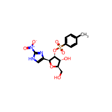 Cc1ccc(S(=O)(=O)O[C@@H]2[C@H](O)[C@@H](CO)O[C@H]2c2c[nH]c([N+](=O)[O-])n2)cc1